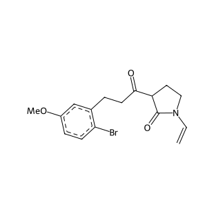 C=CN1CCC(C(=O)CCc2cc(OC)ccc2Br)C1=O